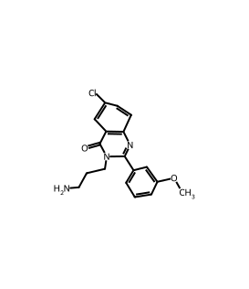 COc1cccc(-c2nc3ccc(Cl)cc3c(=O)n2CCCN)c1